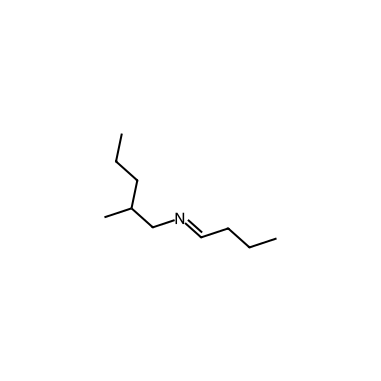 CCC/C=N/CC(C)CCC